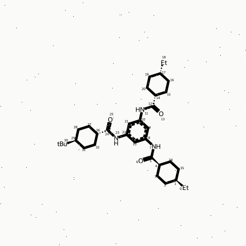 CC[C@H]1CC[C@@H](C(=O)Nc2cc(NC(=O)[C@H]3CC[C@@H](CC)CC3)cc(NC(=O)[C@H]3CC[C@H](C(C)(C)C)CC3)c2)CC1